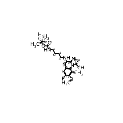 COc1c(F)cc2nc(NCCCCNC(=O)OC(C)(C)C)c3nnc(C)n3c2c1C